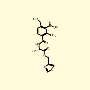 Cc1c(C(=O)N[C@H](C(=O)OCc2cscn2)C(C)C)ccc(CO)c1BO